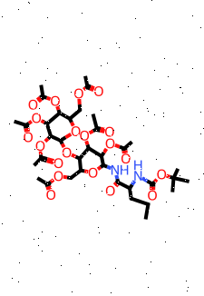 CCCC(NC(=O)OC(C)(C)C)C(=O)NC1OC(COC(C)=O)C(OC2OC(COC(C)=O)C(OC(C)=O)C(OC(C)=O)C2OC(C)=O)C(OC(C)=O)C1OC(C)=O